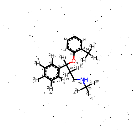 [2H]c1c([2H])c([2H])c(C([2H])(Oc2ccccc2C([2H])([2H])[2H])C([2H])([2H])CNC([2H])([2H])[2H])c([2H])c1[2H]